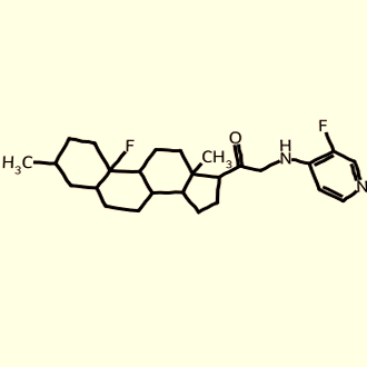 CC1CCC2(F)C(CCC3C4CCC(C(=O)CNc5ccncc5F)C4(C)CCC32)C1